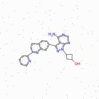 Nc1ncnc2c1c(-c1ccc3ccc(-c4ccccn4)nc3c1)nn2C1CC(O)C1